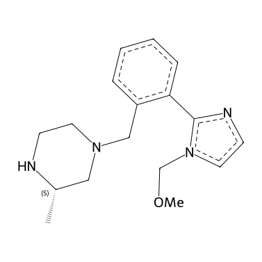 COCn1ccnc1-c1ccccc1CN1CCN[C@@H](C)C1